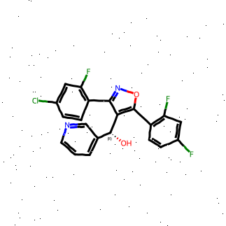 O[C@H](c1cccnc1)c1c(-c2ccc(Cl)cc2F)noc1-c1ccc(F)cc1F